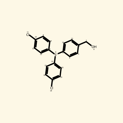 OCc1ccc([S+](c2ccc(Cl)cc2)c2ccc(Cl)cc2)cc1